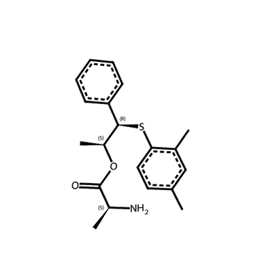 Cc1ccc(S[C@H](c2ccccc2)[C@H](C)OC(=O)[C@H](C)N)c(C)c1